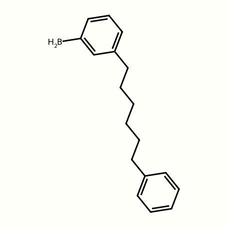 Bc1cccc(CCCCCCc2ccccc2)c1